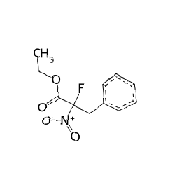 CCOC(=O)C(F)(Cc1ccccc1)[N+](=O)[O-]